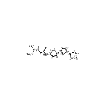 CC(C)C(NCC(=O)Nc1ccc(-c2csc(-c3ccccc3)n2)cc1)C(=O)O